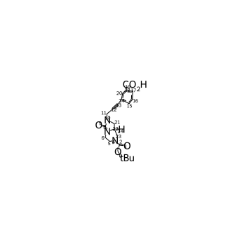 CC(C)(C)OC(=O)N1CCN2C(=O)N(CC#Cc3cccc(C(=O)O)c3)C[C@@H]2C1